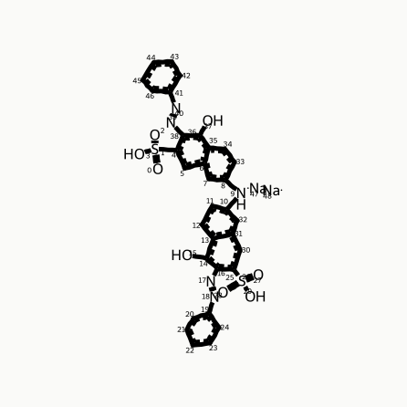 O=S(=O)(O)c1cc2cc(Nc3ccc4c(O)c(N=Nc5ccccc5)c(S(=O)(=O)O)cc4c3)ccc2c(O)c1N=Nc1ccccc1.[Na].[Na]